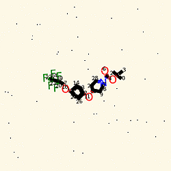 CC(C)(C)OC(=O)N1CCC(Oc2ccc(OCC(F)(F)C(F)(F)F)cc2)CC1